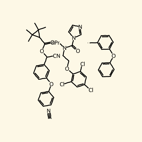 CC1(C)C(C(=O)OC(C#N)c2cccc(Oc3ccccc3)c2)C1(C)C.CCCN(CCOc1c(Cl)cc(Cl)cc1Cl)C(=O)n1ccnc1.[CH2]c1cccc(Oc2ccccc2)c1.[C]#N